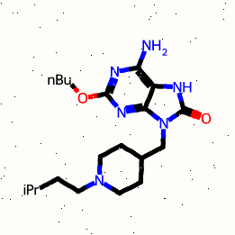 CCCCOc1nc(N)c2[nH]c(=O)n(CC3CCN(CCC(C)C)CC3)c2n1